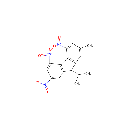 Cc1cc2c(c([N+](=O)[O-])c1)-c1c(cc([N+](=O)[O-])cc1[N+](=O)[O-])C2C(C)C